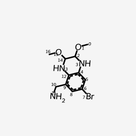 COC1Nc2cc(Br)cc(CN)c2NC1OC